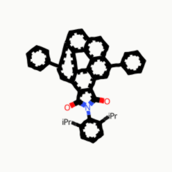 CC(C)c1cccc(C(C)C)c1-n1c(=O)c2c3cc(-c4ccccc4)c4ccc5ccc6c(-c7ccccc7)cc(c2c1=O)c1c6c5c4c31